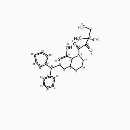 CCC(C)(C)C(=O)C(=O)N1CCCC(CCC(c2ccccc2)c2ccccc2)C1C(O)=S